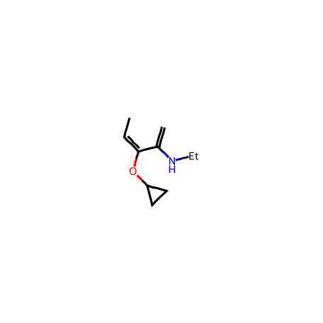 C=C(NCC)/C(=C\C)OC1CC1